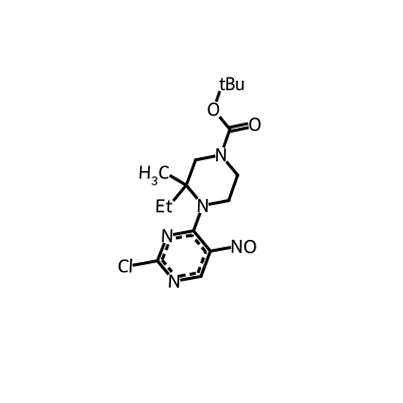 CCC1(C)CN(C(=O)OC(C)(C)C)CCN1c1nc(Cl)ncc1N=O